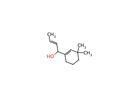 CC=CC(O)C1=CC(C)(C)CCC1